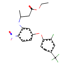 CCOC(=O)CC(C)Nc1cc(Oc2ccc(C(F)(F)F)cc2Cl)ccc1[N+](=O)[O-]